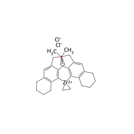 CC1=Cc2c(cc3c([c]2[Zr+2]2([c]4c5c(cc6c4CCCC6)CC(C)=C5)[CH2][CH2]2)CCCC3)C1.[Cl-].[Cl-]